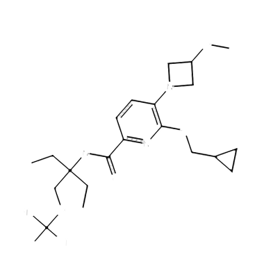 [2H]C([2H])(F)OCC(CC)(CC)NC(=O)c1ccc(N2CC(OC)C2)c(OCC2CC2)n1